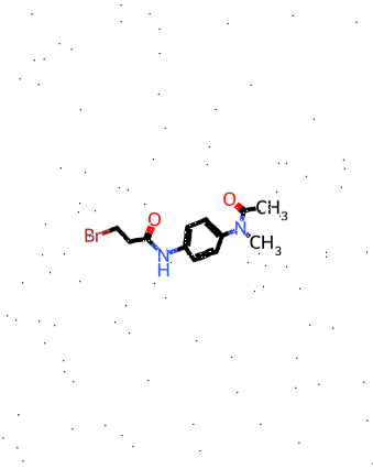 CC(=O)N(C)c1ccc(NC(=O)CCBr)cc1